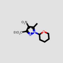 CCOC(=O)c1nn(C2CCCCO2)c(C)c1[N+](=O)[O-]